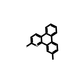 Cc1ccc2c3ccccc3c3ccc(I)nc3c2c1